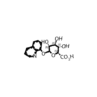 O=C(O)[C@H]1OC(Oc2cccc3cccnc23)[C@H](O)[C@@H](O)[C@@H]1O